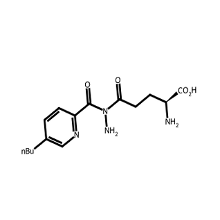 CCCCc1ccc(C(=O)N(N)C(=O)CC[C@H](N)C(=O)O)nc1